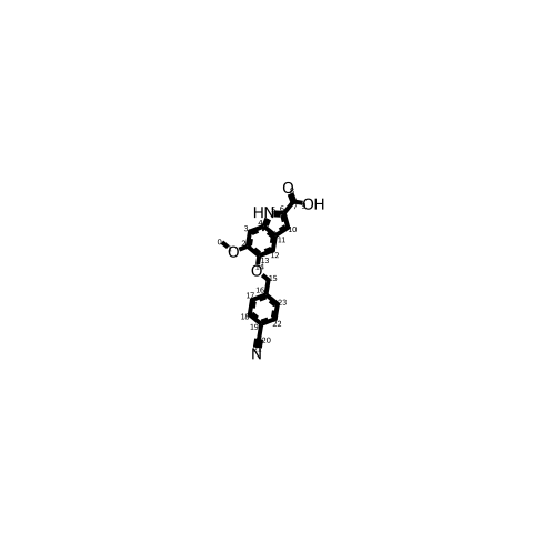 COc1cc2[nH]c(C(=O)O)cc2cc1OCc1ccc(C#N)cc1